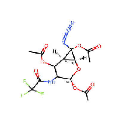 CC(=O)OC1C(NC(=O)C(F)(F)F)[C@H](OC(C)=O)O[C@H]2[C@@H]1C2(N=[N+]=[N-])OC(C)=O